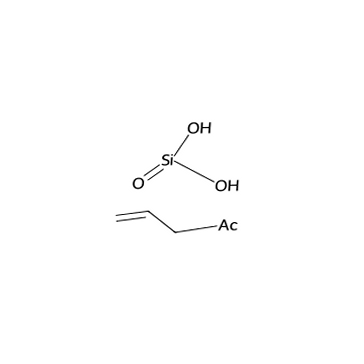 C=CCC(C)=O.O=[Si](O)O